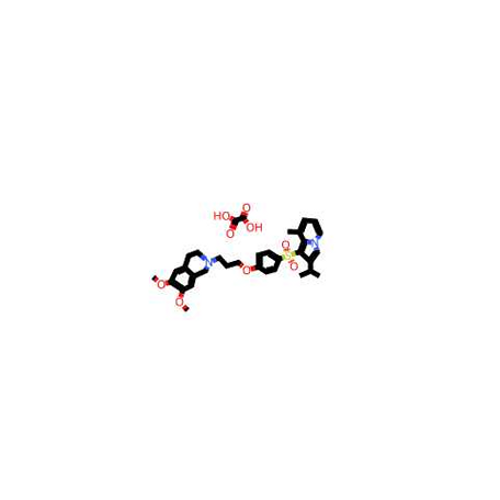 COc1cc2c(cc1OC)CN(CCCOc1ccc(S(=O)(=O)c3c(C(C)C)cn4cccc(C)c34)cc1)CC2.O=C(O)C(=O)O